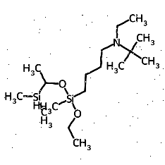 CCO[Si](C)(CCCCN(CC)C(C)(C)C)OC(C)[SiH](C)C